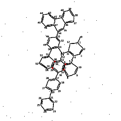 CC1C=CC(c2ccccc2)=C(N(c2ccc(-c3ccc(-c4ccccc4)cc3)cc2)c2cc(-c3cc4ccccc4c4ccccc34)ccc2-c2ccccc2)C1